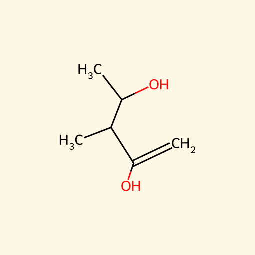 C=C(O)C(C)C(C)O